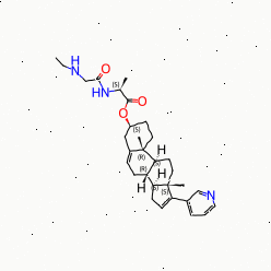 CCNCC(=O)N[C@@H](C)C(=O)O[C@H]1CC[C@@]2(C)C(=CC[C@@H]3[C@@H]2CC[C@]2(C)C(c4cccnc4)=CC[C@@H]32)C1